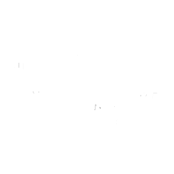 CCOC(=O)c1cc(C2CC2)c2c(C)c(-c3ccc(CO)o3)ccn2c1=O